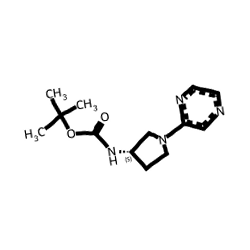 CC(C)(C)OC(=O)N[C@H]1CCN(c2cnccn2)C1